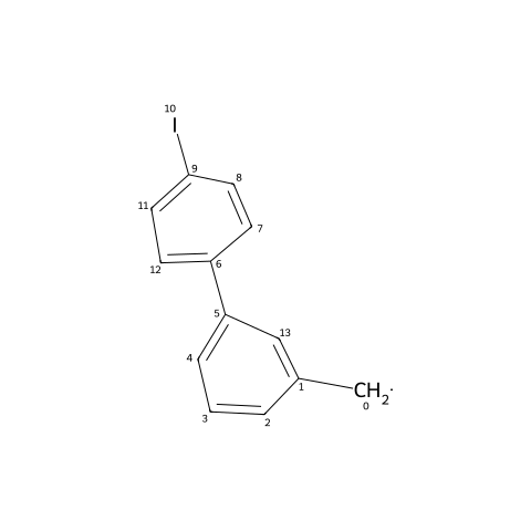 [CH2]c1cccc(-c2ccc(I)cc2)c1